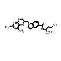 Nc1nc(N)c2nc(CN3CCc4cc(C(=O)NC(CCS)C(=O)O)ccc43)cnc2n1